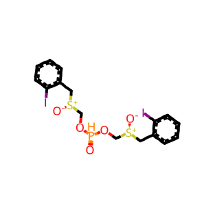 O=[PH](OC[S@@+]([O-])Cc1ccccc1I)OC[S@@+]([O-])Cc1ccccc1I